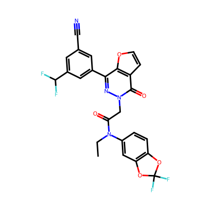 CCN(C(=O)Cn1nc(-c2cc(C#N)cc(C(F)F)c2)c2occc2c1=O)c1ccc2c(c1)OC(F)(F)O2